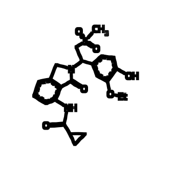 CCOc1cc(C(CS(C)(=O)=O)N2Cc3cccc(NC(=O)C4CC4)c3C2=O)ccc1O